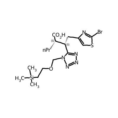 CCC[C@H](C(=O)O)[C@H](Cc1csc(Br)n1)c1nnnn1COCC[Si](C)(C)C